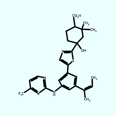 C/C=C(/C)c1cc(Nc2nccc(C(F)(F)F)n2)cc(-c2cnc(C3(O)CCC(C(=O)O)C(C)(C)C3)s2)c1